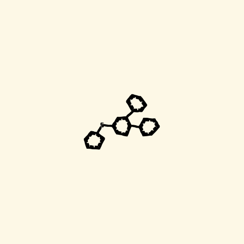 c1ccc(Sc2ccc(-c3ccccc3)c(-c3ccccc3)c2)cc1